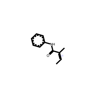 C/C=C(/C)C(=O)Nc1ccccc1